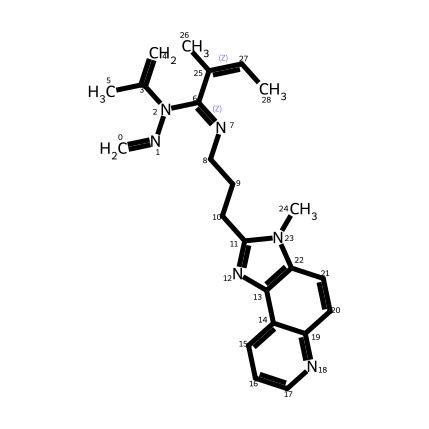 C=NN(C(=C)C)C(=N\CCCc1nc2c3cccnc3ccc2n1C)/C(C)=C\C